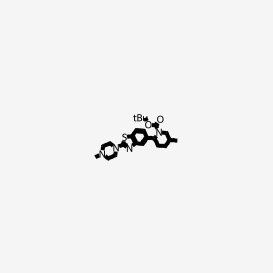 CC1CCC(c2ccc3sc(N4CCN(C)CC4)nc3c2)N(C(=O)OC(C)(C)C)C1